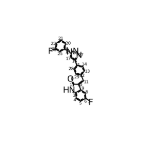 O=C1Nc2ccc(F)cc2C1=Cc1ccc(-c2cn(-c3cccc(F)c3)nn2)cc1